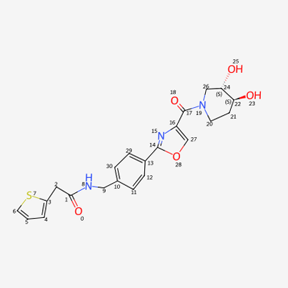 O=C(Cc1cccs1)NCc1ccc(-c2nc(C(=O)N3CC[C@H](O)[C@@H](O)C3)co2)cc1